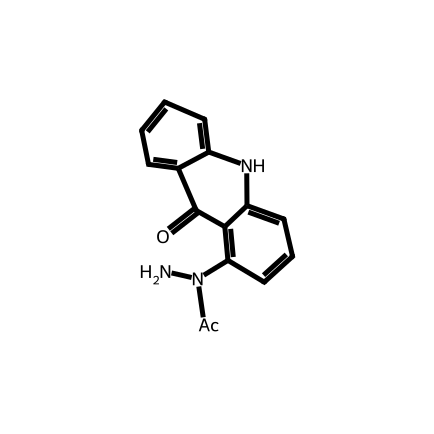 CC(=O)N(N)c1cccc2[nH]c3ccccc3c(=O)c12